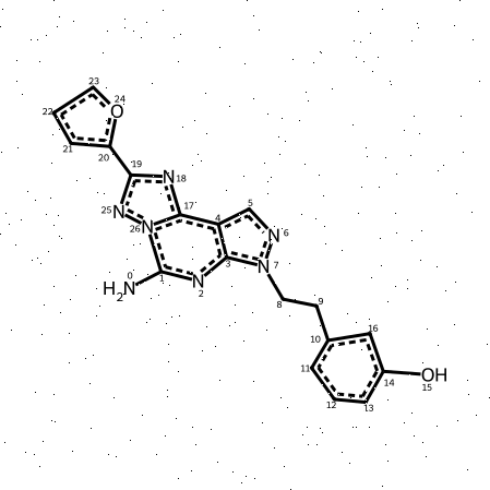 Nc1nc2c(cnn2CCc2cccc(O)c2)c2nc(-c3ccco3)nn12